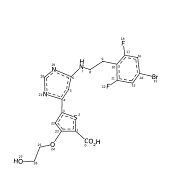 O=C(O)c1sc(-c2cc(NCCc3c(F)cc(Br)cc3F)ncn2)cc1OCCO